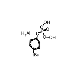 CC(C)(C)c1ccc(OP(=O)(OO)OO)cc1.[AlH3]